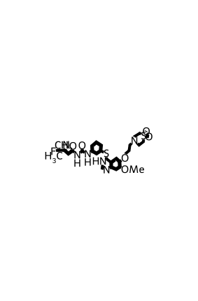 COc1cc2c(cc1OCCCN1CCS(=O)(=O)CC1)C(Sc1cccc(NC(=O)Nc3cc(C(C)(C)F)no3)c1)NC=N2